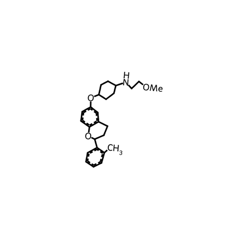 COCCNC1CCC(Oc2ccc3c(c2)CCC(c2ccccc2C)O3)CC1